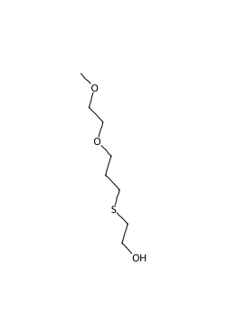 COCCOCCCSCCO